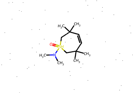 CN(C)[SH]1(=O)CC(C)(C)C=CC(C)(C)C1